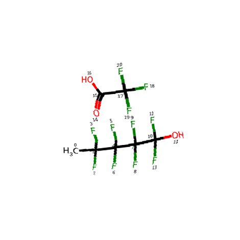 CC(F)(F)C(F)(F)C(F)(F)C(O)(F)F.O=C(O)C(F)(F)F